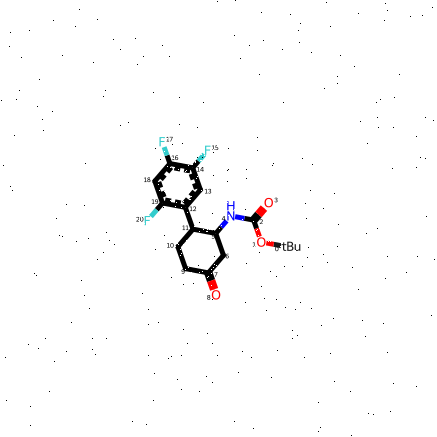 CC(C)(C)OC(=O)NC1CC(=O)CCC1c1cc(F)c(F)cc1F